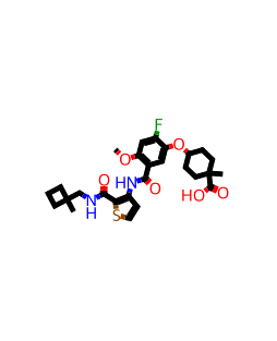 COc1cc(F)c(OC2CCC(C)(C(=O)O)CC2)cc1C(=O)Nc1ccsc1C(=O)NCC1(C)CCC1